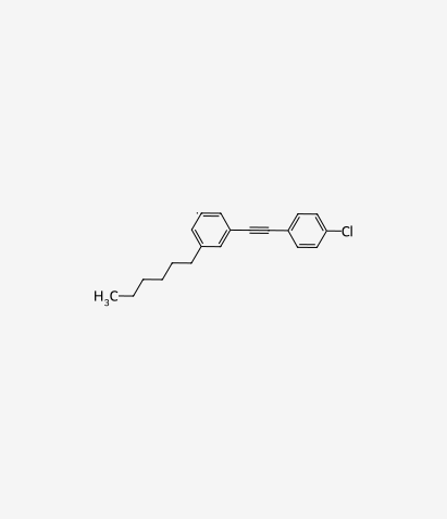 CCCCCCc1c[c]cc(C#Cc2ccc(Cl)cc2)c1